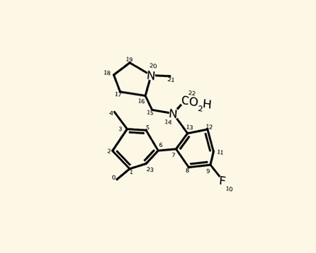 Cc1cc(C)cc(-c2cc(F)ccc2N(CC2CCCN2C)C(=O)O)c1